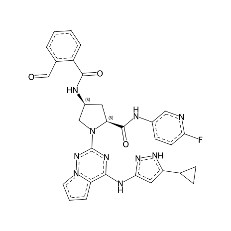 O=Cc1ccccc1C(=O)N[C@H]1C[C@@H](C(=O)Nc2ccc(F)nc2)N(c2nc(Nc3cc(C4CC4)[nH]n3)c3cccn3n2)C1